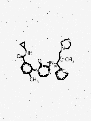 Cc1ccc(C(=O)NC2CC2)cc1-n1ccnc(N[C@@H](c2ccccc2)[C@@H](C)CN2CCSCC2)c1=O